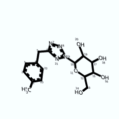 Cc1ccc(Cc2nnn(C3OC(CO)C(O)C(O)C3O)n2)cc1